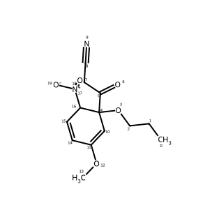 CCCOC1(C(=O)CC#N)C=C(OC)C=CC1[N+](=O)[O-]